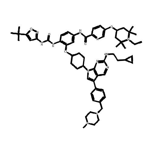 CCN1C(C)(C)CC(Oc2ccc(C(=O)Nc3ccc(NC(=O)Nc4cc(C(C)(C)C)on4)c(OC4CCC(n5cc(-c6ccc(CN7CCN(C)CC7)cc6)c6cnc(NCCC7CC7)nc65)CC4)c3)nc2)CC1(C)C